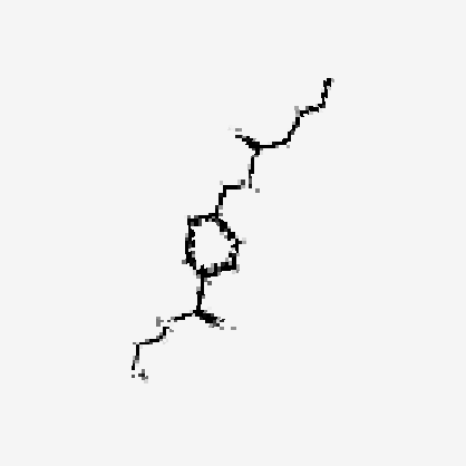 CCCCC(=O)SCc1ccc(C(=O)NCCN)cc1